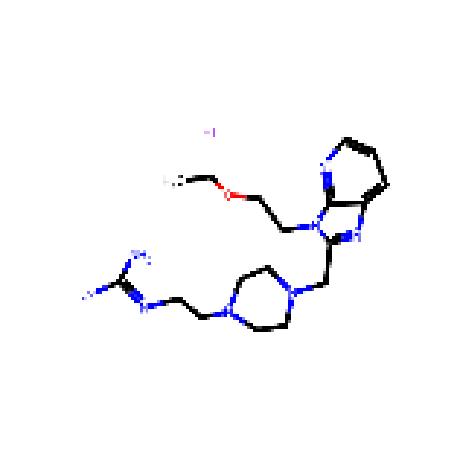 CCOCCn1c(CN2CCN(CCN=C(N)N)CC2)nc2cccnc21.I